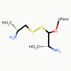 CCCCCOC(SSC[C@H](N)C(=O)O)[C@H](N)C(=O)O